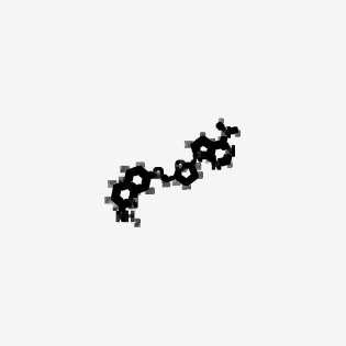 CN(C)c1ncnc2c1ccn2[C@H]1CC[C@@H](COc2ccc3ccc(N)nc3c2)O1